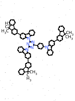 CC1(C)c2ccccc2-c2cc(-c3ccc4c(c3)c3ccccc3n4-c3ccc(-c4nc(-n5c6ccccc6c6cc(-c7ccc8c(c7)-c7ccccc7C8(C)C)ccc65)nc(-n5c6ccccc6c6cc(-c7ccc8c(c7)-c7ccccc7C8(C)C)ccc65)n4)cc3)ccc21